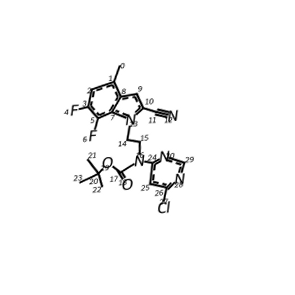 Cc1cc(F)c(F)c2c1cc(C#N)n2CCN(C(=O)OC(C)(C)C)c1cc(Cl)ncn1